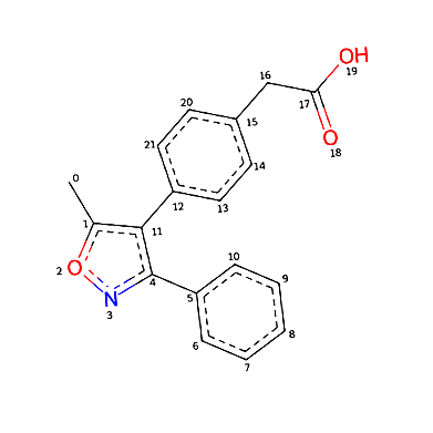 Cc1onc(-c2ccccc2)c1-c1ccc(CC(=O)O)cc1